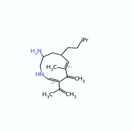 C=C(C)/C1=C/NCC(N)CC(CCC(C)C)/C=C(\C)C1=C